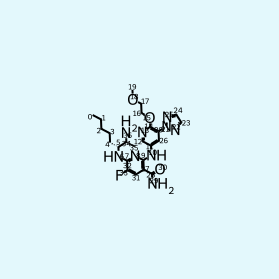 CCCCC[C@@H](Nc1nc(Nc2cnc(OCCOC)c(-n3nccn3)c2)c(C(N)=O)cc1F)[C@H](C)N